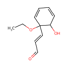 CCOC1(C=CC=O)C=CC=CC1O